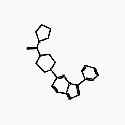 O=C(N1CCCC1)N1CCN(c2ccc3ncc(-c4ccccc4)n3n2)CC1